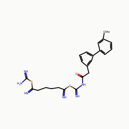 COc1cccc(-c2cccc(CC(=O)NC(=N)SC(=N)CCCCC(=N)SC(=N)N)c2)c1